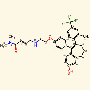 Cc1cc(C(F)(F)F)ccc1C1=C(c2ccc(OCCNC/C=C/C(=O)N(C)C)cc2)c2ccc(O)cc2CCC1